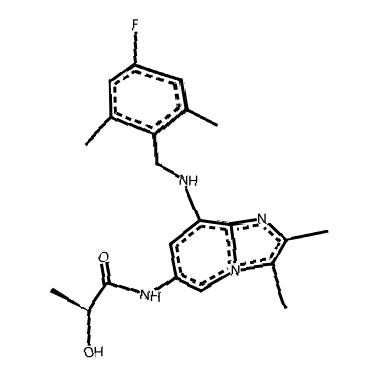 Cc1cc(F)cc(C)c1CNc1cc(NC(=O)[C@H](C)O)cn2c(C)c(C)nc12